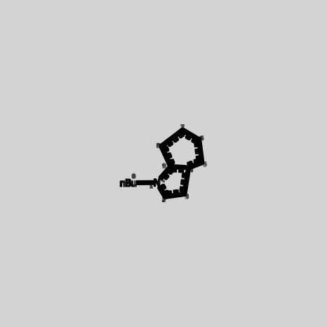 CCCCn1ccc2c[c]ccc21